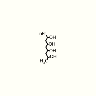 CCCC(O)CC(O)CC(O)CC(C)O